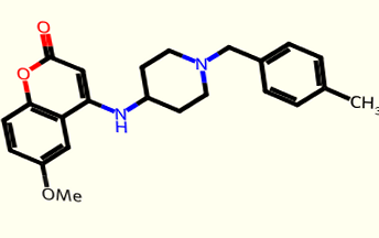 COc1ccc2oc(=O)cc(NC3CCN(Cc4ccc(C)cc4)CC3)c2c1